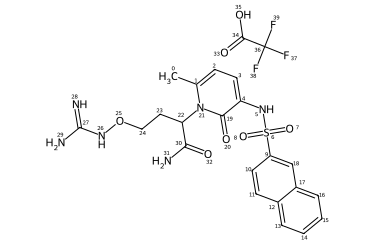 Cc1ccc(NS(=O)(=O)c2ccc3ccccc3c2)c(=O)n1C(CCONC(=N)N)C(N)=O.O=C(O)C(F)(F)F